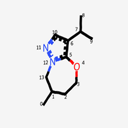 CC1CCOc2c(C(C)C)cnn2C1